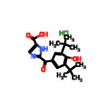 CC(C)(C)c1cc(C(=O)c2ncc(C(=O)O)[nH]2)cc(C(C)(C)C)c1O.Cl